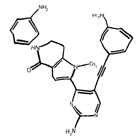 Cn1c(-c2nc(N)ncc2C#Cc2cccc(N)c2)cc2c1CCNC2=O.Nc1ccccc1